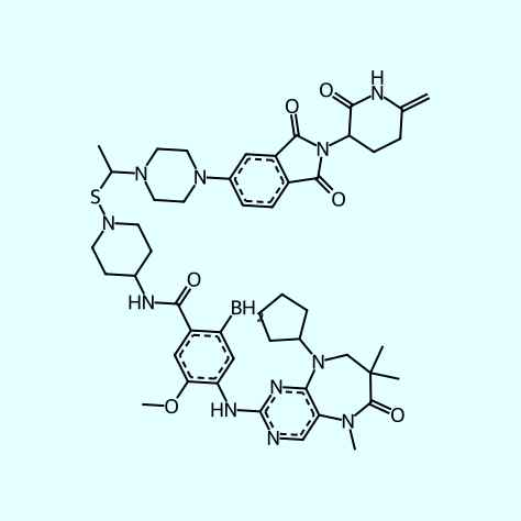 Bc1cc(Nc2ncc3c(n2)N(C2CCCC2)CC(C)(C)C(=O)N3C)c(OC)cc1C(=O)NC1CCN(SC(C)N2CCN(c3ccc4c(c3)C(=O)N(C3CCC(=C)NC3=O)C4=O)CC2)CC1